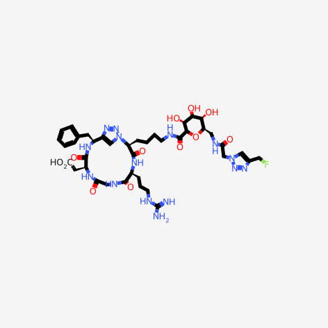 N=C(N)NCCC[C@@H]1NC(=O)[C@H](CCCCNC(=O)C2O[C@H](CNC(=O)Cn3cc(CF)nn3)[C@H](O)C(O)[C@@H]2O)n2cc(nn2)[C@H](Cc2ccccc2)NC(=O)[C@H](CC(=O)O)NC(=O)CNC1=O